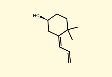 C=C/C=C1/C[C@@H](O)CCC1(C)C